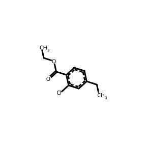 CCOC(=O)c1ccc(CC)cc1Cl